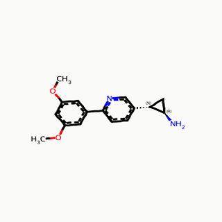 COc1cc(OC)cc(-c2ccc([C@@H]3C[C@H]3N)cn2)c1